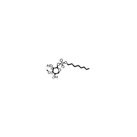 CCCCCCCCOS(=O)(=O)OC1OC[C@@H](O)[C@H](OC)[C@H]1O